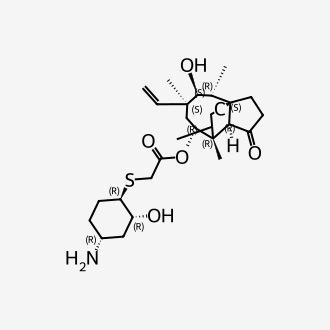 C=C[C@]1(C)C[C@@H](OC(=O)CS[C@@H]2CC[C@@H](N)C[C@H]2O)[C@]2(C)C(C)CC[C@]3(CCC(=O)[C@H]32)[C@@H](C)[C@@H]1O